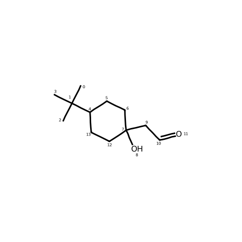 CC(C)(C)C1CCC(O)(C[C]=O)CC1